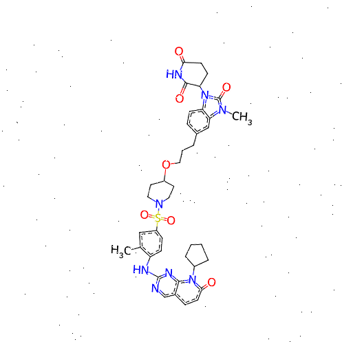 Cc1cc(S(=O)(=O)N2CCC(OCCCc3ccc4c(c3)n(C)c(=O)n4C3CCC(=O)NC3=O)CC2)ccc1Nc1ncc2ccc(=O)n(C3CCCC3)c2n1